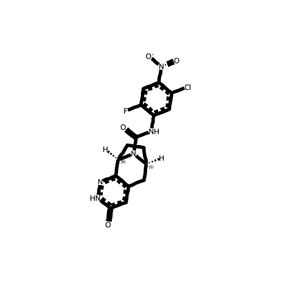 O=C(Nc1cc(Cl)c([N+](=O)[O-])cc1F)N1[C@H]2CC[C@@H]1c1n[nH]c(=O)cc1C2